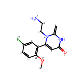 C=C1NC(=O)C=C(c2cc(F)ccc2OC)N1CCN